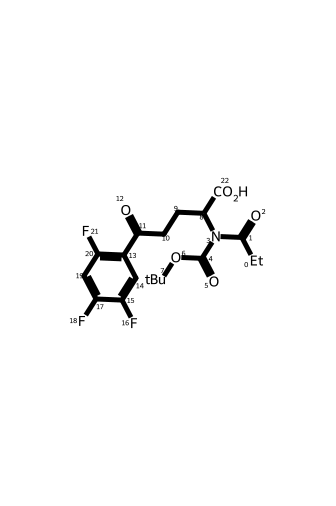 CCC(=O)N(C(=O)OC(C)(C)C)C(CCC(=O)c1cc(F)c(F)cc1F)C(=O)O